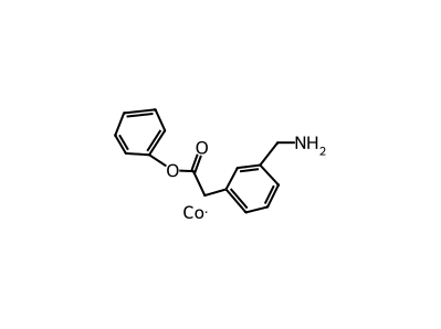 NCc1cccc(CC(=O)Oc2ccccc2)c1.[Co]